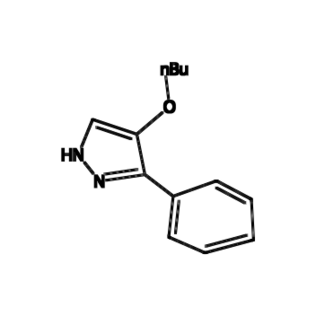 CCCCOc1c[nH]nc1-c1ccccc1